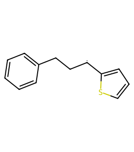 [CH](CCc1ccccc1)c1cccs1